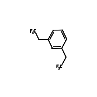 FC(F)(F)Cc1[c]c(CC(F)(F)F)ccc1